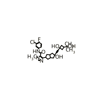 Cn1cnc(C2CC3CC(O)(C#CC4(O)CC(C(C)(C)O)C4)CC3C2)c1C(=O)Nc1ccc(F)c(Cl)c1